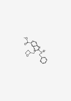 COC(=O)c1ccc2nc([S+]([O-])Cc3ccccc3)n(CC3CCO3)c2c1